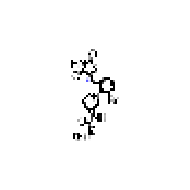 CC(C)(C)OC(=O)N[C@@H]1CCCN(c2c(Br)cccc2/C=C2\SC(=O)NC2=O)C1